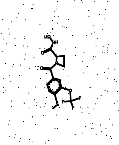 CSc1ccc(C(=O)N2CCC2C(=O)NO)cc1OC(F)(F)F